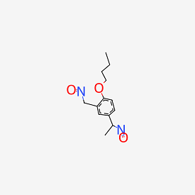 CCCCOc1ccc(C(C)N=O)cc1CN=O